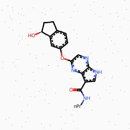 CCCNC(=O)c1c[nH]c2ncc(Oc3ccc4c(c3)[C@@H](O)CC4)nc12